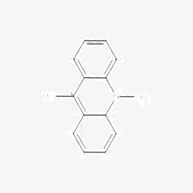 CN1c2ccccc2C(O)=C2C=CC=CC21